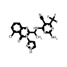 CC(Nc1nc(N)nc(C(F)(F)F)c1C#N)c1nc2cccc(Cl)c2c(=O)n1-c1cc[nH]n1